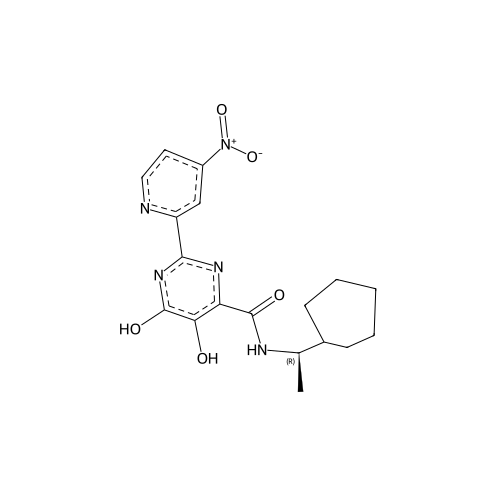 C[C@@H](NC(=O)c1nc(-c2cc([N+](=O)[O-])ccn2)nc(O)c1O)C1CCCCC1